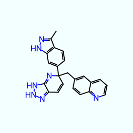 Cc1n[nH]c2cc(C3(Cc4ccc5ncccc5c4)C=CC4=NNNC4=N3)ccc12